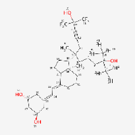 [2H]C([2H])([2H])C(O)(CCCC(C)(CC#CC(O)(C(F)(F)F)C(F)(F)F)[C@H]1CCC2/C(=C/C=C3C[C@@H](O)C[C@H](O)C3)CCC[C@@]21C)C([2H])([2H])[2H]